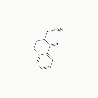 O=C(O)CC1CCc2ccccc2C1=O